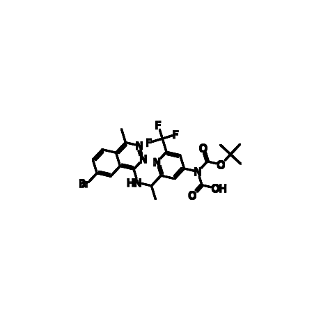 Cc1nnc(NC(C)c2cc(N(C(=O)O)C(=O)OC(C)(C)C)cc(C(F)(F)F)n2)c2cc(Br)ccc12